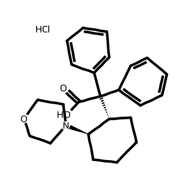 Cl.O=C(O)C(c1ccccc1)(c1ccccc1)[C@@H]1CCCC[C@H]1N1CCOCC1